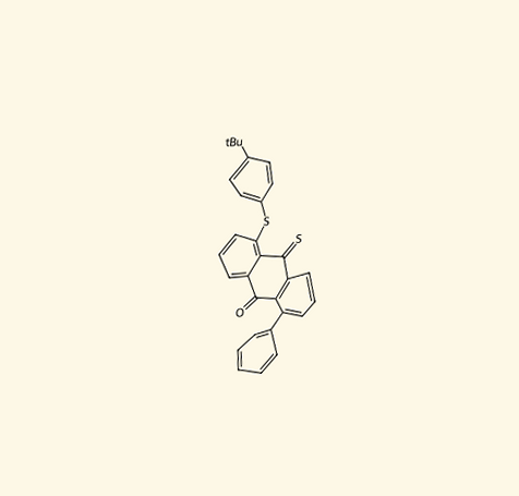 CC(C)(C)c1ccc(Sc2cccc3c2C(=S)c2cccc(-c4ccccc4)c2C3=O)cc1